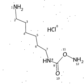 Cl.NCCCCCCNC(=O)ON